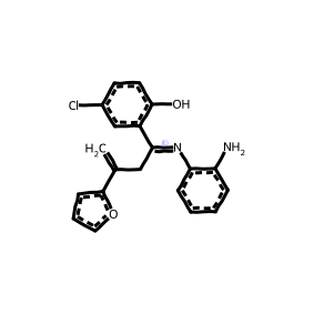 C=C(C/C(=N\c1ccccc1N)c1cc(Cl)ccc1O)c1ccco1